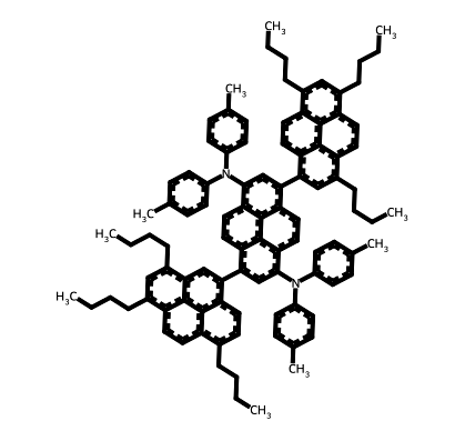 CCCCc1cc(CCCC)c2ccc3c(-c4cc(N(c5ccc(C)cc5)c5ccc(C)cc5)c5ccc6c(-c7cc8c(CCCC)cc(CCCC)c9ccc%10c(CCCC)ccc7c%10c98)cc(N(c7ccc(C)cc7)c7ccc(C)cc7)c7ccc4c5c67)cc(CCCC)c4ccc1c2c43